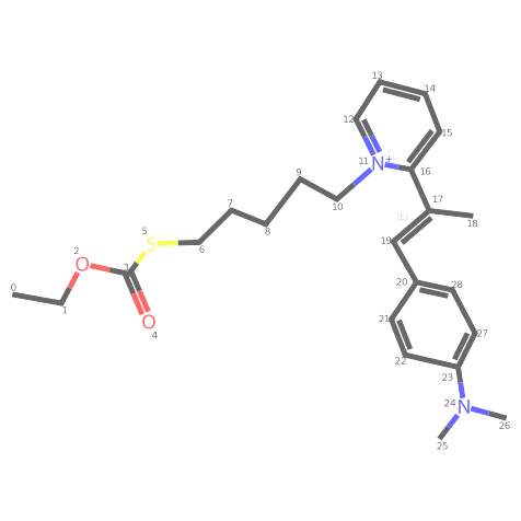 CCOC(=O)SCCCCC[n+]1ccccc1/C(C)=C/c1ccc(N(C)C)cc1